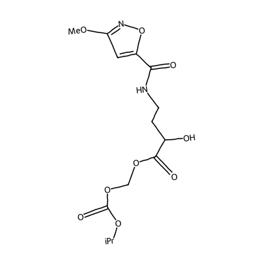 COc1cc(C(=O)NCCC(O)C(=O)OCOC(=O)OC(C)C)on1